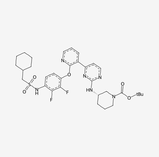 CC(C)(C)OC(=O)N1CCC[C@H](Nc2nccc(-c3cccnc3Oc3ccc(NS(=O)(=O)CC4CCCCC4)c(F)c3F)n2)C1